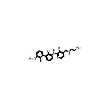 COc1cccc(-c2cccc(Nc3nccc(CNCCO)c3F)c2Cl)c1F